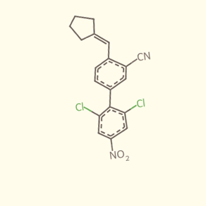 N#Cc1cc(-c2c(Cl)cc([N+](=O)[O-])cc2Cl)ccc1C=C1CCCC1